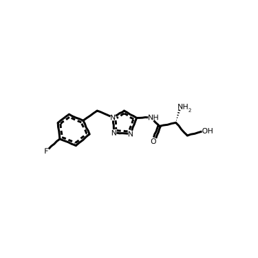 N[C@H](CO)C(=O)Nc1cn(Cc2ccc(F)cc2)nn1